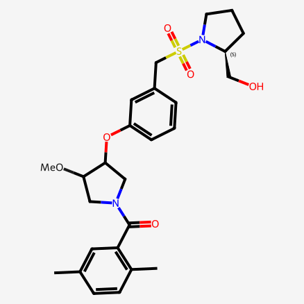 COC1CN(C(=O)c2cc(C)ccc2C)CC1Oc1cccc(CS(=O)(=O)N2CCC[C@H]2CO)c1